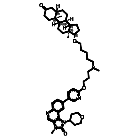 CN(CCCCCO[C@H]1CC[C@H]2[C@@H]3CC[C@H]4CC(=O)CC[C@]4(C)[C@H]3CC[C@]12C)CCCOc1ccc(-c2ccc3ncc4c(c3c2)n(C2CCOCC2)c(=O)n4C)cn1